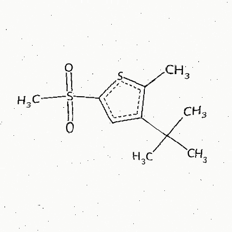 Cc1sc(S(C)(=O)=O)cc1C(C)(C)C